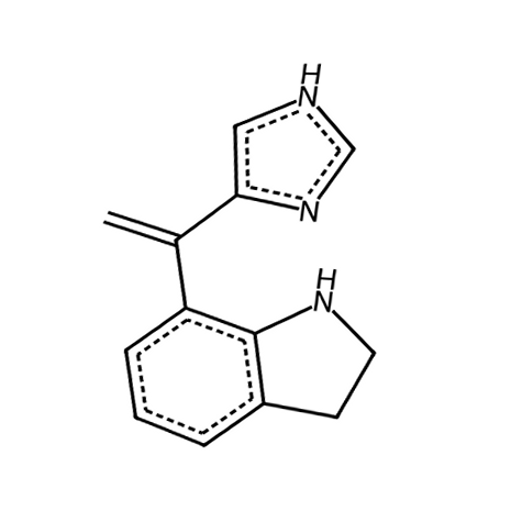 C=C(c1c[nH]cn1)c1cccc2c1NCC2